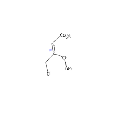 CCCO/C(=C\C(=O)O)CCl